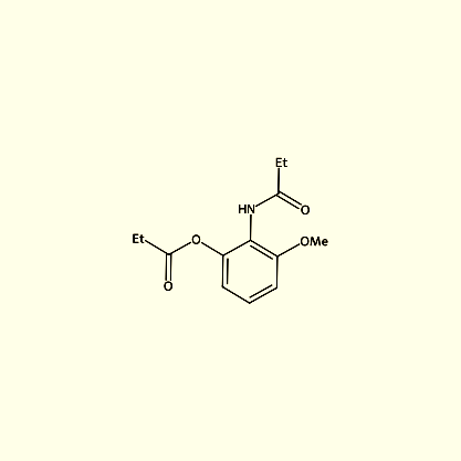 CCC(=O)Nc1c(OC)cccc1OC(=O)CC